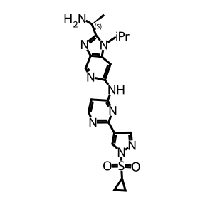 CC(C)n1c([C@H](C)N)nc2cnc(Nc3ccnc(-c4cnn(S(=O)(=O)C5CC5)c4)n3)cc21